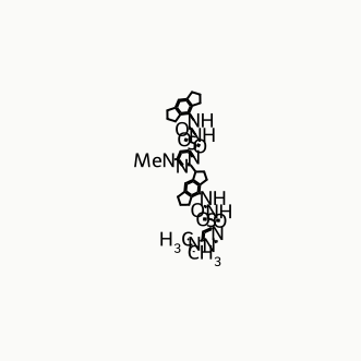 CNc1cc(S(=O)(=O)NC(=O)Nc2c3c(cc4c2CCC4)CCC3)nc(C2CCc3c2cc2c(c3NC(=O)NS(=O)(=O)c3cc(N(C)C)ncn3)CCC2)n1